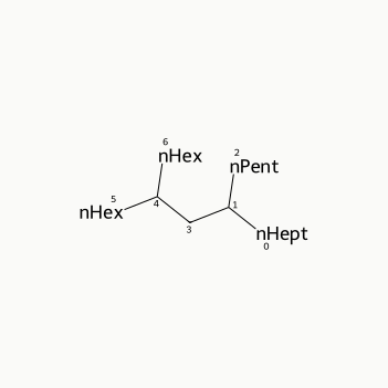 CCCCCCCC(CCCCC)CC(CCCCCC)CCCCCC